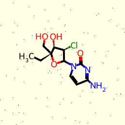 CC[C@]1(CO)OC(n2ccc(N)nc2=O)[C@H](Cl)[C@@H]1O